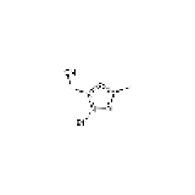 CCn1nc(C)cc1CC#N